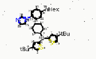 CC(C)(C)c1csc(B(c2cc(C(C)(C)C)cs2)C2CCCCC2)c1.CCCCCCc1ccc(-n2ccnc2)cc1